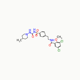 COc1c(Cl)cc(Cl)cc1C(=O)NCCc1ccc(S(=O)(=O)NC(=O)NN2CCC(C)CC2)cc1